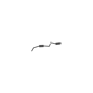 CCC#CCSC#N